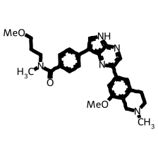 COCCCN(C)C(=O)c1ccc(-c2c[nH]c3ncc(-c4cc5c(c(OC)c4)CN(C)CC5)nc23)cc1